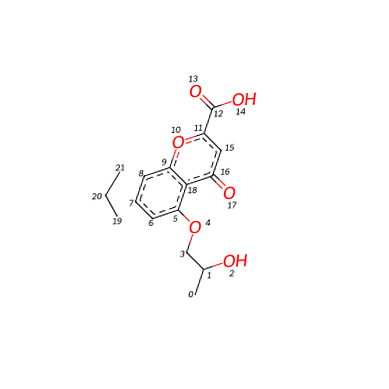 CC(O)COc1cccc2oc(C(=O)O)cc(=O)c12.CCC